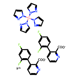 O=C([O-])c1ncccc1-c1ccc(F)cc1F.O=C([O-])c1ncccc1-c1ccc(F)cc1F.[Ir+3].c1cnn([B-](n2cccn2)(n2cccn2)n2cccn2)c1